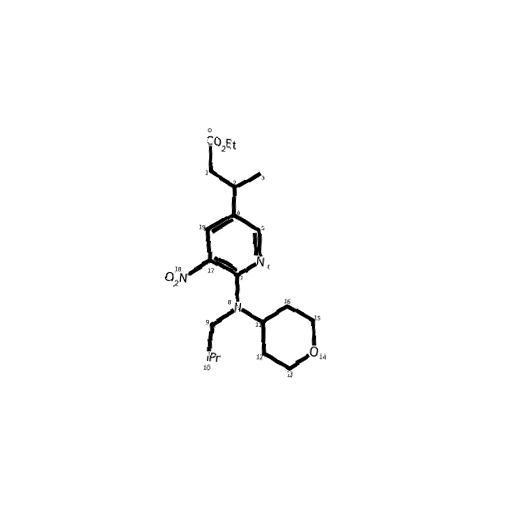 CCOC(=O)CC(C)c1cnc(N(CC(C)C)C2CCOCC2)c([N+](=O)[O-])c1